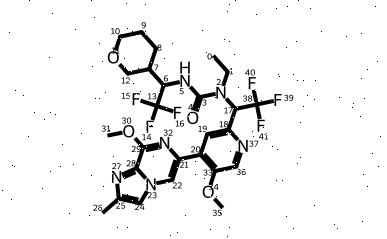 CCN(C(=O)NC(C1CCCOC1)C(F)(F)F)C(c1cc(-c2cn3cc(C)nc3c(OC)n2)c(OC)cn1)C(F)(F)F